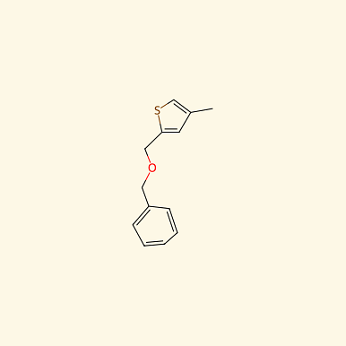 Cc1csc(COCc2ccccc2)c1